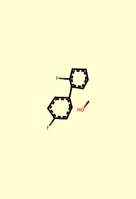 CO.Fc1ccc(-c2ccccc2F)cc1